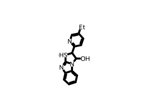 CCc1ccc(C2[SH]c3nc4ccccc4n3C2O)nc1